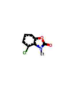 CCn1c(=O)oc2cccc(Cl)c21